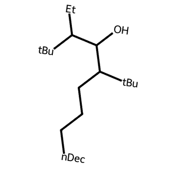 [CH2]CC(C(O)C(CCCCCCCCCCCCC)C(C)(C)C)C(C)(C)C